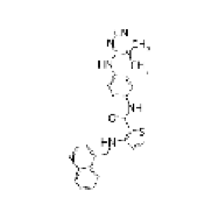 CN(C)/C(=N\C#N)Nc1ccc(NC(=O)c2sccc2NCc2ccnc3ccccc23)cc1